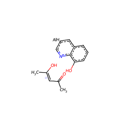 CC(=O)/C=C(/C)O.Oc1cccc2cccnc12.[AlH3]